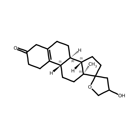 C[C@]12CC[C@@H]3C4=C(CC[C@H]3[C@@H]1CCC21CC(O)CO1)CC(=O)CC4